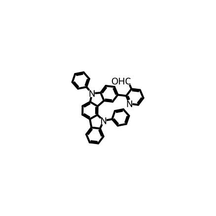 O=Cc1cccnc1-c1ccc2c(c1)c1c(ccc3c4ccccc4n(-c4ccccc4)c31)n2-c1ccccc1